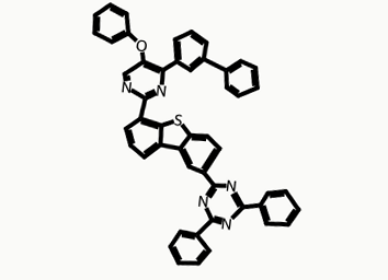 c1ccc(Oc2cnc(-c3cccc4c3sc3ccc(-c5nc(-c6ccccc6)nc(-c6ccccc6)n5)cc34)nc2-c2cccc(-c3ccccc3)c2)cc1